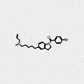 C=CCN(C)CCCCCc1ccc2c(c1)CCN2C(=O)c1ccc(Br)cc1